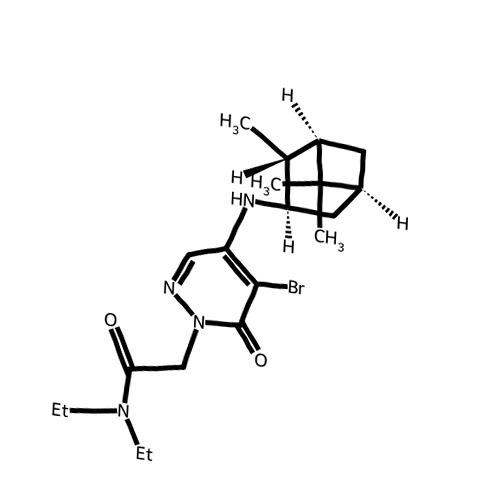 CCN(CC)C(=O)Cn1ncc(N[C@@H]2C[C@@H]3C[C@H]([C@H]2C)C3(C)C)c(Br)c1=O